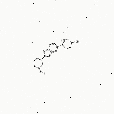 C[C@H]1CC[C@H](c2ccc3nn([C@@H]4CCCN(C)C4)cc3c2)NC1